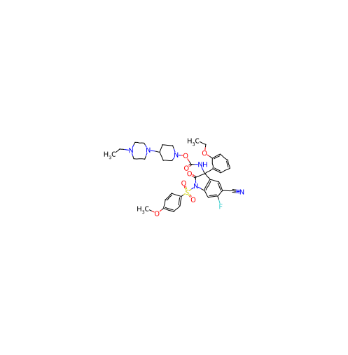 CCOc1ccccc1C1(NC(=O)ON2CCC(N3CCN(CC)CC3)CC2)C(=O)N(S(=O)(=O)c2ccc(OC)cc2)c2cc(F)c(C#N)cc21